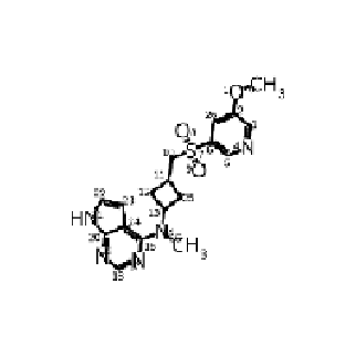 COc1cncc(S(=O)(=O)CC2CC(N(C)c3ncnc4[nH]ccc34)C2)c1